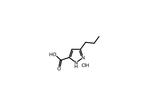 CCCc1cc(C(=O)O)[nH]n1.Cl